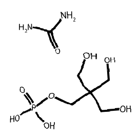 NC(N)=O.O=P(O)(O)OCC(CO)(CO)CO